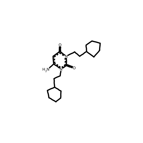 Nc1cc(=O)n(CCC2CCCCC2)c(=O)n1CCC1CCCCC1